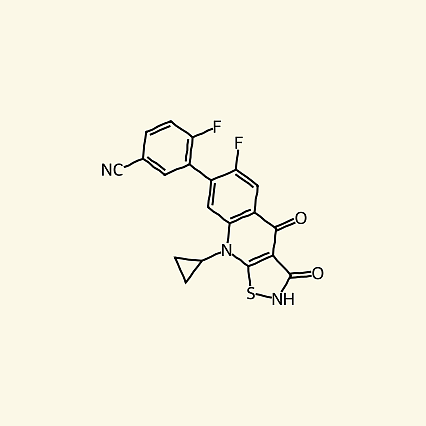 N#Cc1ccc(F)c(-c2cc3c(cc2F)c(=O)c2c(=O)[nH]sc2n3C2CC2)c1